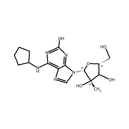 C[C@]1(O)C(O)[C@@H](CO)O[C@H]1n1cnc2c(NC3CCCC3)nc(O)nc21